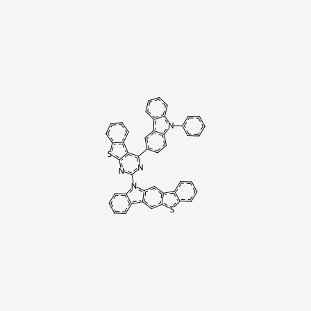 c1ccc(-n2c3ccccc3c3cc(-c4nc(-n5c6ccccc6c6cc7sc8ccccc8c7cc65)nc5sc6ccccc6c45)ccc32)cc1